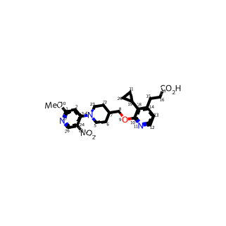 COc1cc(N2CCC(COc3nccc(CCC(=O)O)c3C3CC3)CC2)c([N+](=O)[O-])cn1